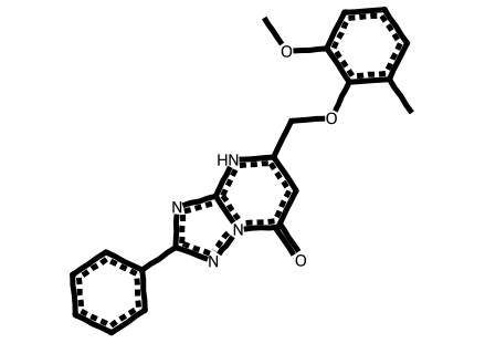 COc1cccc(C)c1OCc1cc(=O)n2nc(-c3ccccc3)nc2[nH]1